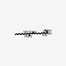 CCCCCCCCCC(O)C(C(=O)O)C(=O)CC(O)CCCCCCCC1O[C@@H](C)[C@H](O)[C@@H](O)[C@H]1O